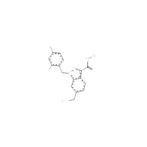 NNC(=O)c1nn(Cc2ccc(Cl)cc2F)c2cc(CO)ccc12